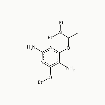 CCOc1nc(N)nc(OC(C)N(CC)CC)c1N